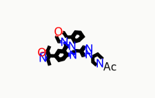 CC(=O)N1CCC(n2cc(-c3nc(N4CCOCC4c4ccccc4)c4cc(-c5c(C)noc5C)ccc4n3)cn2)CC1